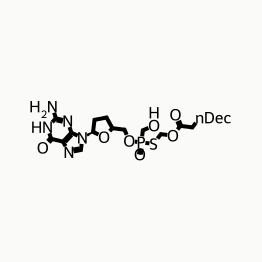 CCCCCCCCCCCC(=O)OCSP(=O)(CO)OCC1CC[C@H](n2cnc3c(=O)[nH]c(N)nc32)O1